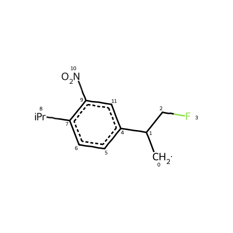 [CH2]C(CF)c1ccc(C(C)C)c([N+](=O)[O-])c1